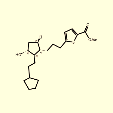 COC(=O)c1ccc(CCC[C@@H]2[C@@H](CCC3CCCC3)[C@H](O)C[C@H]2Cl)s1